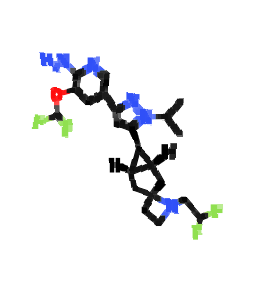 CC(C)n1nc(-c2cnc(N)c(OC(F)F)c2)cc1[C@H]1[C@@H]2C[C@@]3(CCN3CC(F)F)C[C@@H]21